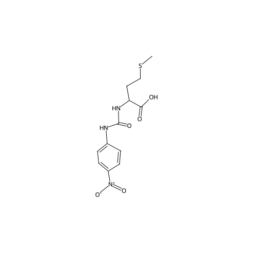 CSCCC(NC(=O)Nc1ccc([N+](=O)[O-])cc1)C(=O)O